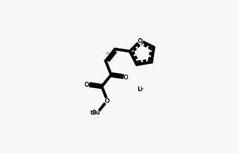 CC(C)(C)OC(=O)C(=O)/C=C\c1ccco1.[Li]